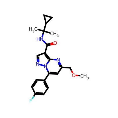 COCc1cc(-c2ccc(F)cc2)n2ncc(C(=O)NC(C)(C)C3CC3)c2n1